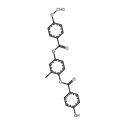 Cc1cc(OC(=O)c2ccc(OC=O)cc2)ccc1OC(=O)c1ccc(O)cc1